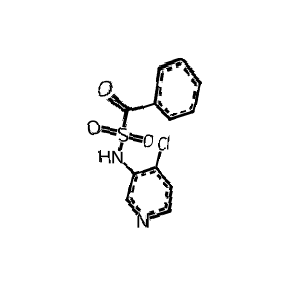 O=C(c1ccccc1)S(=O)(=O)Nc1cnccc1Cl